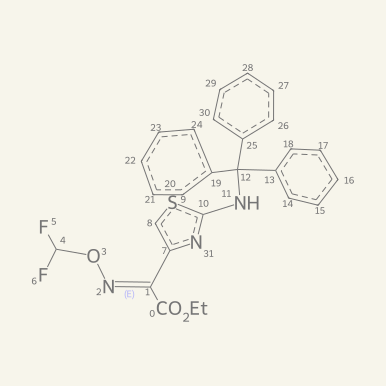 CCOC(=O)/C(=N/OC(F)F)c1csc(NC(c2ccccc2)(c2ccccc2)c2ccccc2)n1